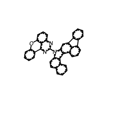 c1ccc2c(c1)Oc1cccc3nc(-n4c5ccc6ccccc6c5c5c6cccc7c6c(cc54)-c4ccccc4-7)nc-2c13